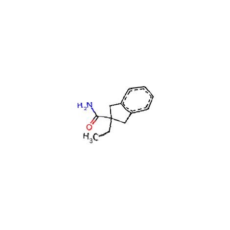 CCC1(C(N)=O)Cc2ccccc2C1